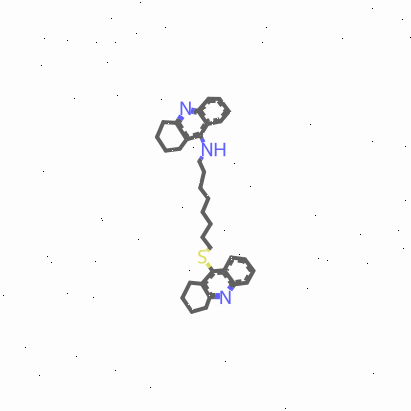 c1ccc2c(NCCCCCCCCSc3c4c(nc5ccccc35)CCCC4)c3c(nc2c1)CCCC3